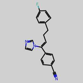 N#Cc1ccc(C(=CCCc2ccc(F)cc2)n2ccnc2)cc1